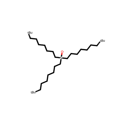 CC(C)(C)CCCCCCC[Si]([O])(CCCCCCCC(C)(C)C)CCCCCCCC(C)(C)C